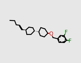 CCC/C=C/[C@H]1CC[C@H](C2CCC(OCc3ccc(F)c(F)c3)CC2)CC1